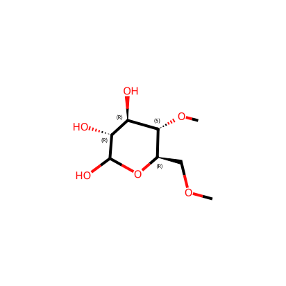 COC[C@H]1OC(O)[C@H](O)[C@@H](O)[C@@H]1OC